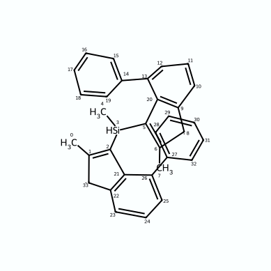 CC1=C([SiH](C)C2=C(C)[CH]c3cccc(-c4ccccc4)c32)c2c(cccc2-c2ccccc2)[CH]1